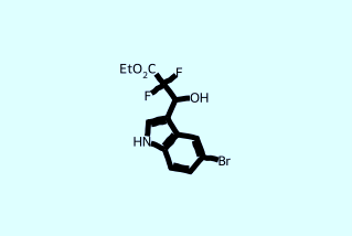 CCOC(=O)C(F)(F)C(O)c1c[nH]c2ccc(Br)cc12